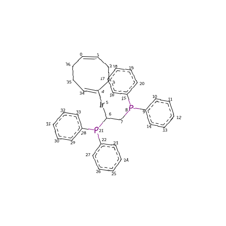 C1=CCC[C]([Ir][CH](CP(c2ccccc2)c2ccccc2)P(c2ccccc2)c2ccccc2)=CCC1